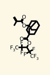 C=C(C)C(=O)OC12CC3CC(C1)CC(C(=O)OC(C(F)(F)C(F)(F)F)C(F)(F)C(F)(F)F)(C3)C2